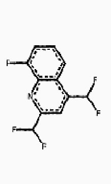 Fc1cccc2c(C(F)F)cc(C(F)F)nc12